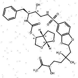 CC(=O)N(O)CCC(C)(C)CC1Oc2ccc(S(=O)(=O)NC[C@@H](O)[C@H](Cc3ccccc3)NC(=O)O[C@H]3CO[C@H]4OCC[C@H]43)cc2O1